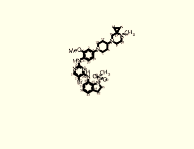 COc1cc(N2CCC(N3CCN(C)C4(CC4)C3)CC2)ccc1Nc1ncc(Br)c(Nc2cccc3c2N(S(C)(=O)=O)CC3)n1